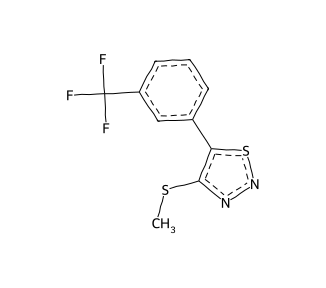 CSc1nnsc1-c1cccc(C(F)(F)F)c1